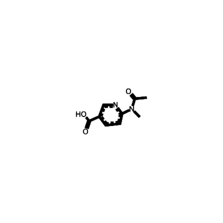 CC(=O)N(C)c1ccc(C(=O)O)cn1